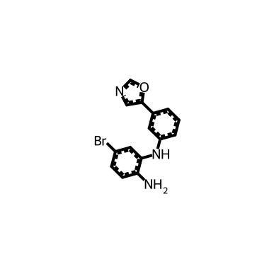 Nc1ccc(Br)cc1Nc1cccc(-c2cnco2)c1